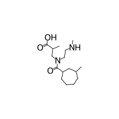 CNCCN(CC(C)C(=O)O)C(=O)C1CCCCC(C)C1